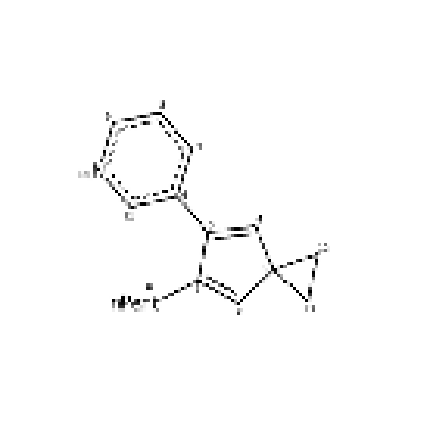 CCCCCC1=CC2(C=C1c1cccnc1)CC2